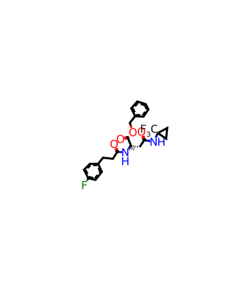 O=C(CCc1ccc(F)cc1)N[C@@H](CC(=O)NC1(C(F)(F)F)CC1)C(=O)OCc1ccccc1